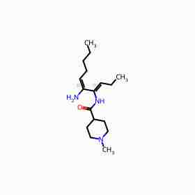 CC/C=C(NC(=O)C1CCN(C)CC1)/C(N)=C\CCCC